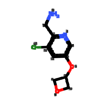 NCc1ncc(OC2COC2)cc1Cl